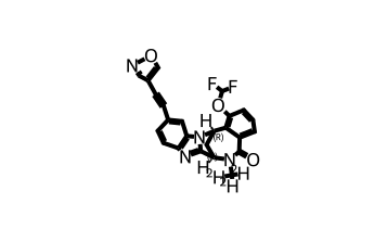 [2H]C([2H])([2H])N1C(=O)c2cccc(OC(F)F)c2[C@H]2C[C@@H]1c1nc3ccc(C#Cc4cnoc4)cc3n12